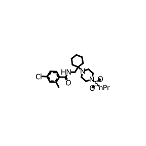 CCCS(=O)(=O)N1CCN(C2(CNC(=O)c3ccc(Cl)cc3C)CCCCC2)CC1